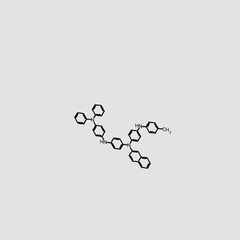 Cc1ccc(Nc2ccc(N(c3ccc(Nc4ccc(N(c5ccccc5)c5ccccc5)cc4)cc3)c3ccc4ccccc4c3)cc2)cc1